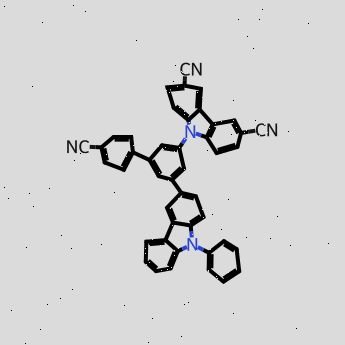 N#Cc1ccc(-c2cc(-c3ccc4c(c3)c3ccccc3n4-c3ccccc3)cc(-n3c4ccc(C#N)cc4c4cc(C#N)ccc43)c2)cc1